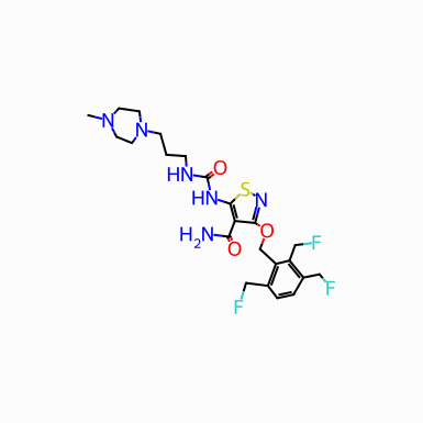 CN1CCN(CCCNC(=O)Nc2snc(OCc3c(CF)ccc(CF)c3CF)c2C(N)=O)CC1